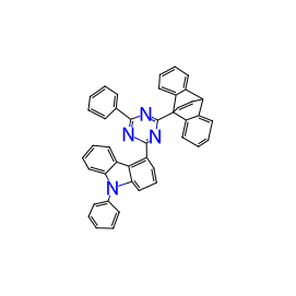 C1=CC2(c3nc(-c4ccccc4)nc(-c4cccc5c4c4ccccc4n5-c4ccccc4)n3)c3ccccc3C1c1ccccc12